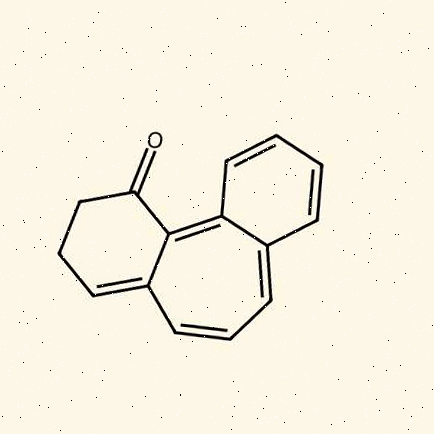 O=C1CCC=C2C=CC=c3ccccc3=C12